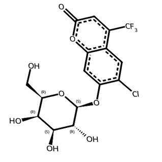 O=c1cc(C(F)(F)F)c2cc(Cl)c(O[C@@H]3O[C@H](CO)[C@H](O)[C@H](O)[C@H]3O)cc2o1